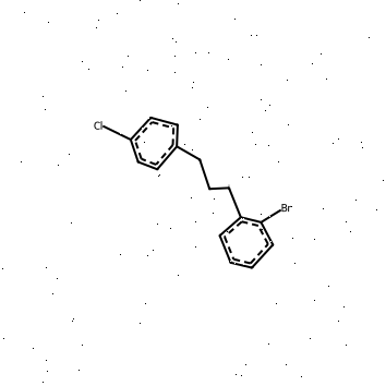 Clc1ccc(CC[CH]c2ccccc2Br)cc1